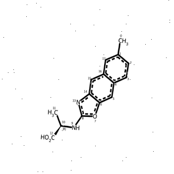 Cc1ccc2cc3oc(N[C@H](C)C(=O)O)nc3cc2c1